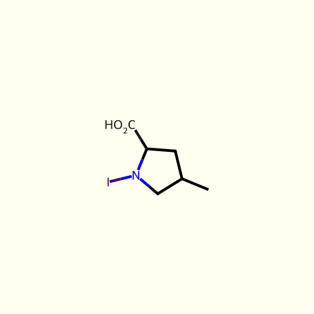 CC1CC(C(=O)O)N(I)C1